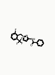 O=C(Nc1ccn(Cc2c(F)cccc2C(F)(F)F)n1)c1ccccc1